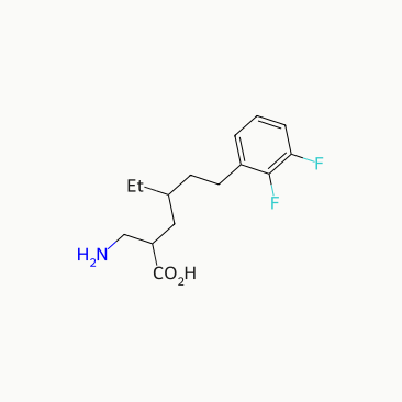 CCC(CCc1cccc(F)c1F)CC(CN)C(=O)O